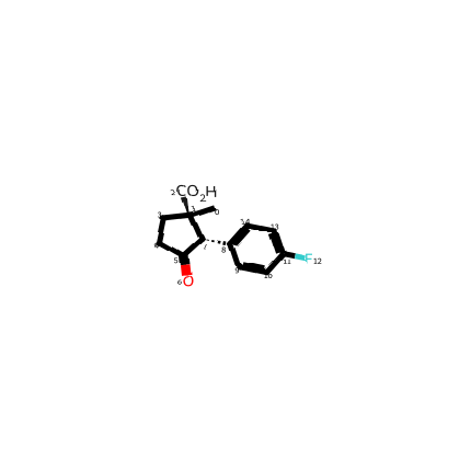 C[C@@]1(C(=O)O)CCC(=O)[C@H]1c1ccc(F)cc1